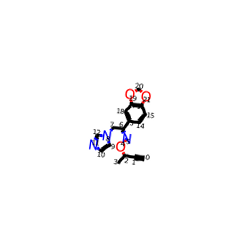 C#CC(C)O/N=C(\Cn1ccnc1)c1ccc2c(c1)OCO2